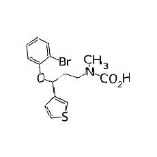 CN(CCC(Oc1ccccc1Br)c1ccsc1)C(=O)O